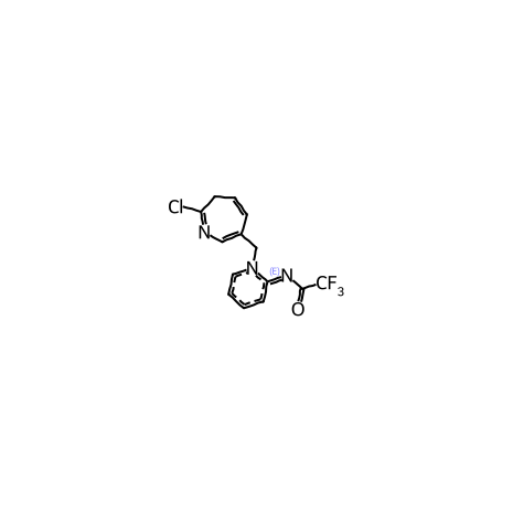 O=C(/N=c1\ccccn1CC1=CN=C(Cl)CC=C1)C(F)(F)F